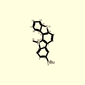 CCCCc1ccc2c(c1)c1ccc3sc4ccccc4c3c1n2C